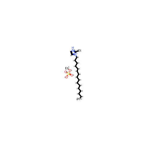 CCOS(=O)(=O)[O-].CCc1[nH]cc[n+]1CCCCCCCCCCCCCCCC(C)C